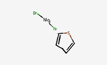 [Br][Mg][Br].[c]1cccs1